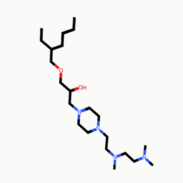 CCCCC(CC)COCC(O)CN1CCN(CCN(C)CCN(C)C)CC1